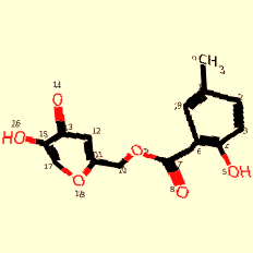 Cc1ccc(O)c(C(=O)OCc2cc(=O)c(O)co2)c1